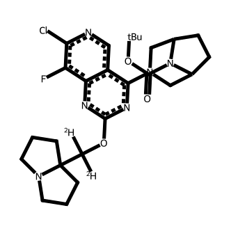 [2H]C([2H])(Oc1nc(N2CC3CCC(C2)N3C(=O)OC(C)(C)C)c2cnc(Cl)c(F)c2n1)C12CCCN1CCC2